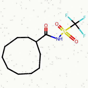 O=C(NS(=O)(=O)C(F)(F)F)C1CCCCCCCCC1